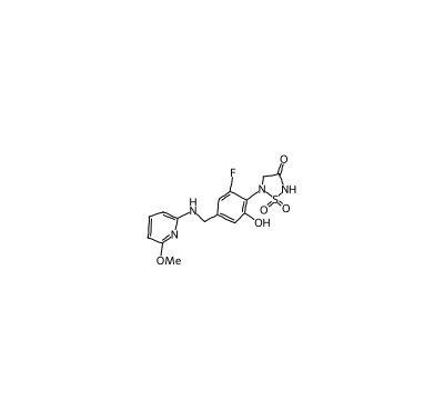 COc1cccc(NCc2cc(O)c(N3CC(=O)NS3(=O)=O)c(F)c2)n1